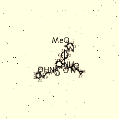 COc1ccnc(N2CCN(c3ccc(C(=O)NCCCN4CCCC4=O)cc3NC(=O)c3coc(C4CC4)n3)CC2)c1